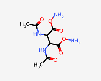 CC(=O)NC(C(=O)ON)C(NC(C)=O)C(=O)ON